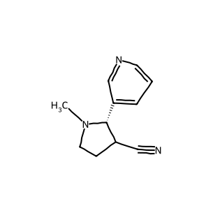 CN1CCC(C#N)[C@H]1c1cccnc1